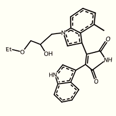 CCOCC(O)Cn1cc(C2=C(c3c[nH]c4ccccc34)C(=O)NC2=O)c2c(C)cccc21